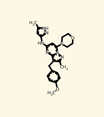 COc1ccc(Cc2c(C)nn3c(N4CCOCC4)cc(Nc4cc(C)[nH]n4)nc23)cc1